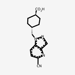 N#Cc1ccc2c(cnn2C[C@H]2CC[C@H](C(=O)O)CC2)n1